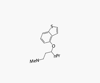 CCCC(CCNC)Oc1cccc2sccc12